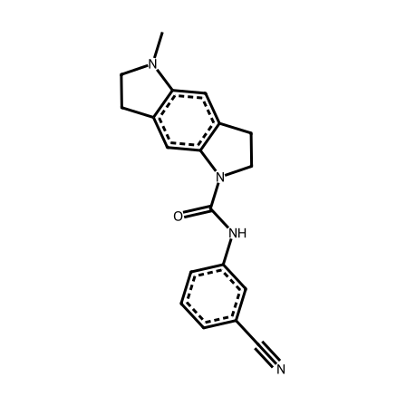 CN1CCc2cc3c(cc21)CCN3C(=O)Nc1cccc(C#N)c1